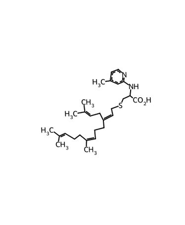 CC(C)=CCCC(C)=CCCC(=CCSCC(Nc1cc(C)ccn1)C(=O)O)CC=C(C)C